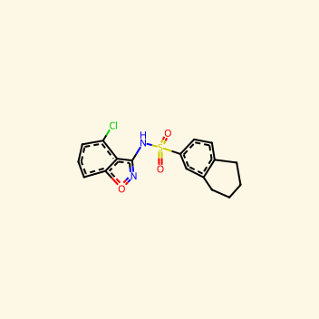 O=S(=O)(Nc1noc2cccc(Cl)c12)c1ccc2c(c1)CCCC2